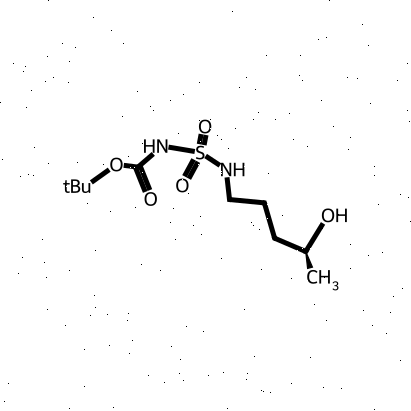 C[C@H](O)CCCNS(=O)(=O)NC(=O)OC(C)(C)C